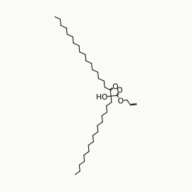 C=CCOC(=O)C(O)(CCCCCCCCCCCCCCCC)C(=O)CCCCCCCCCCCCCCCCC